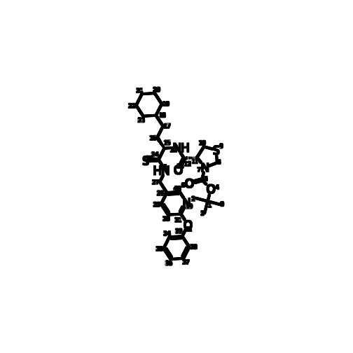 CC(C)(C)OC(=O)N1CSC[C@H]1C(=O)N[C@H](CCC1CCCCC1)C(=S)NCc1ccc(Oc2ccccc2)nc1